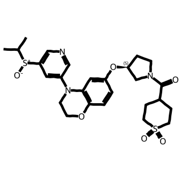 CC(C)[S+]([O-])c1cncc(N2CCOc3ccc(O[C@H]4CCN(C(=O)C5CCS(=O)(=O)CC5)C4)cc32)c1